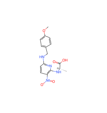 COc1ccc(CNc2ccc([N+](=O)[O-])c(N[C@@H](C)C(=O)O)n2)cc1